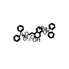 CC1(O)CCc2c(O[Si](c3ccccc3)(c3ccccc3)C(C)(C)C)cccc2C1CCOC(=O)N(c1ccccc1)c1ccccc1